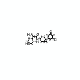 CN(C(=O)N[C@@H]1CC[C@@]2(c3cc(Cl)cc(Cl)c3)CC2C1)C1CCNCC1